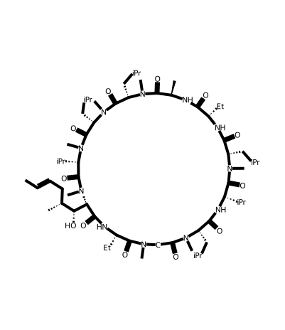 C/C=C/C[C@@H](C)[C@@H](O)[C@H]1C(=O)N[C@@H](CC)C(=O)N(C)CC(=O)N(C)[C@@H](CC(C)C)C(=O)N[C@@H](C(C)C)C(=O)N(C)[C@@H](CC(C)C)C(=O)N[C@@H](CC)C(=O)N[C@H](C)C(=O)N(C)[C@@H](CC(C)C)C(=O)N(C)[C@@H](CC(C)C)C(=O)N(C)[C@@H](C(C)C)C(=O)N1C